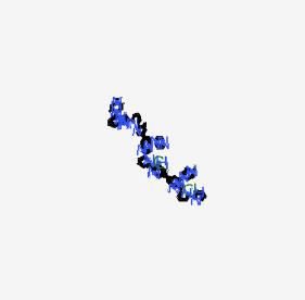 Cc1cc(-c2cc(N3CCN(C)CC3)n3cc([C@H]4CCC[C@@H](c5ncc(-c6cc(N7CCN(C)CC7)n7cc([C@@H]8CCC[C@H](c9ncccc9Cl)N8)nc7c6)cc5Cl)N4)nc3c2)cnc1[C@@H]1CCC[C@H](c2cn3c(N4CCN(C)CC4)cccc3n2)N1